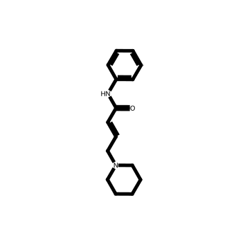 O=C(C=CCN1CCCCC1)Nc1c[c]ccc1